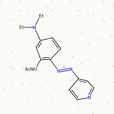 CCN(CC)c1ccc(/N=N/c2ccncc2)c(NC(C)=O)c1